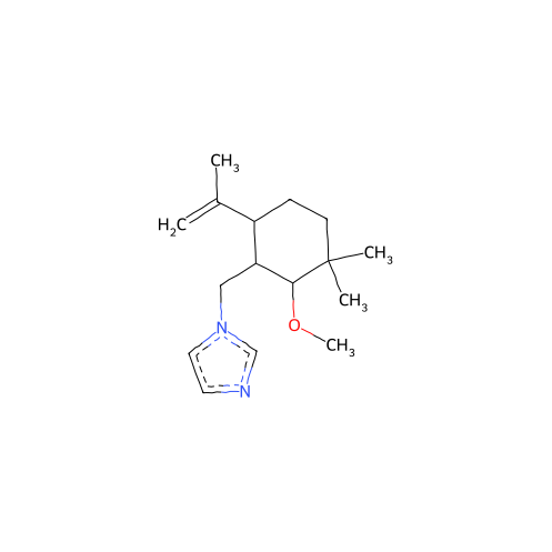 C=C(C)C1CCC(C)(C)C(OC)C1Cn1ccnc1